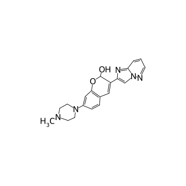 CN1CCN(c2ccc3c(c2)OC(O)C(c2cn4ncccc4n2)=C3)CC1